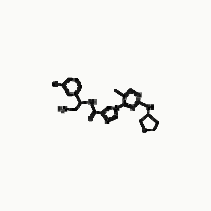 Cc1cnc(NC2CCOC2)nc1-n1cnc(C(=O)NC(CN)c2cccc(Cl)c2)c1